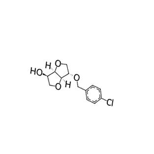 O[C@@H]1CO[C@H]2[C@@H]1OC[C@@H]2OCc1ccc(Cl)cc1